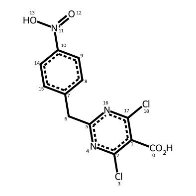 O=C(O)c1c(Cl)nc(Cc2ccc([N+](=O)O)cc2)nc1Cl